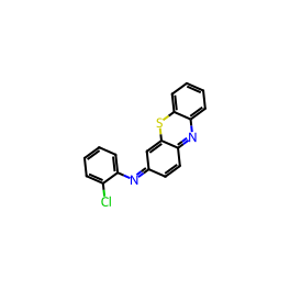 Clc1ccccc1N=c1ccc2nc3ccccc3sc-2c1